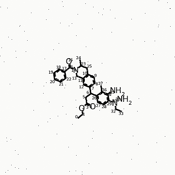 CCOC(=O)CC(c1ccc2c(c1)CN(C(=O)c1ccccc1)C(C)C2)c1ccc(N(N)CC)c(N)c1C